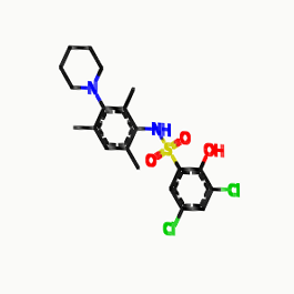 Cc1cc(C)c(N2CCCCC2)c(C)c1NS(=O)(=O)c1cc(Cl)cc(Cl)c1O